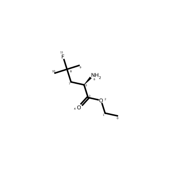 CCOC(=O)[C@H](N)CC(C)(C)F